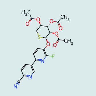 CC(=O)O[C@@H]1[C@@H](OC(C)=O)[C@@H](Oc2ccc(-c3ccc(C#N)nc3)nc2F)SC[C@H]1OC(C)=O